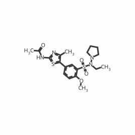 CCN(N1CCCC1)S(=O)(=O)c1cc(-c2sc(NC(C)=O)nc2C)ccc1OC